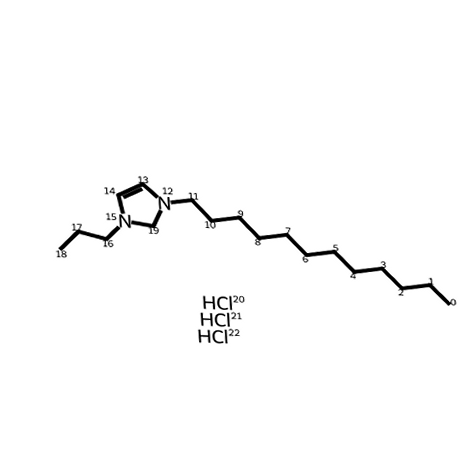 CCCCCCCCCCCCN1C=CN(CCC)C1.Cl.Cl.Cl